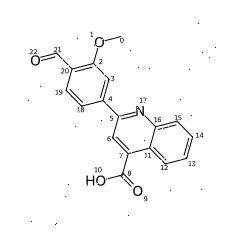 COc1cc(-c2cc(C(=O)O)c3ccccc3n2)ccc1C=O